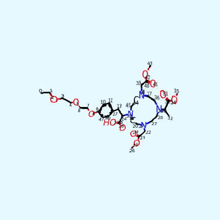 CCOCCOCCOc1ccc(CC(C(=O)O)N2CCN(CC(=O)OC)CCN(C(C)C(=O)OC)CCN(CC(=O)OC)CC2)cc1